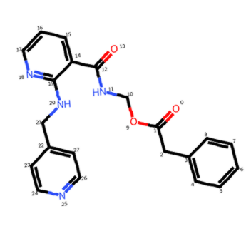 O=C(Cc1ccccc1)OCNC(=O)c1cccnc1NCc1ccncc1